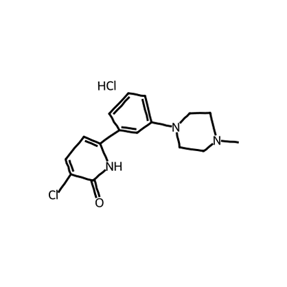 CN1CCN(c2cccc(-c3ccc(Cl)c(=O)[nH]3)c2)CC1.Cl